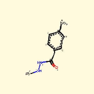 CC(C)NNC(=O)c1ccc([N+](=O)[O-])cc1